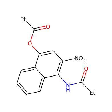 CCC(=O)Nc1c([N+](=O)[O-])cc(OC(=O)CC)c2ccccc12